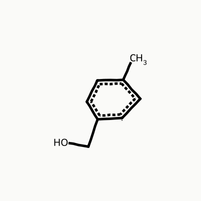 Cc1c[c]c(CO)cc1